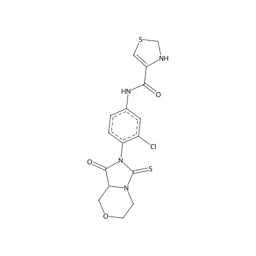 O=C(Nc1ccc(N2C(=O)C3COCCN3C2=S)c(Cl)c1)C1=CSCN1